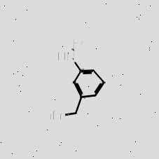 CCNc1cccc(CC(C)C)c1